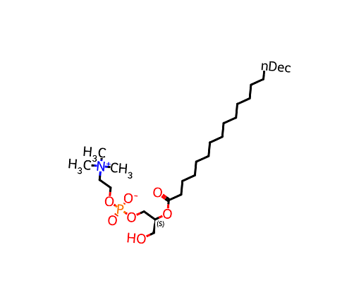 CCCCCCCCCCCCCCCCCCCCCCCC(=O)O[C@@H](CO)COP(=O)([O-])OCC[N+](C)(C)C